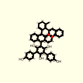 CC1=C(c2cc3ccccc3cc2C)C(c2c3ccccc3c(-c3c(O)c(-c4ccc(O)cc4)c(O)c(-c4ccc(O)cc4)c3O)c3ccccc23)=CCC1